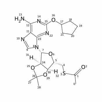 CC(=O)SC[C@H]1O[C@@H](n2cnc3c(N)nc(OC4CCCC4)nc32)[C@@H]2OC(C)(C)O[C@@H]21